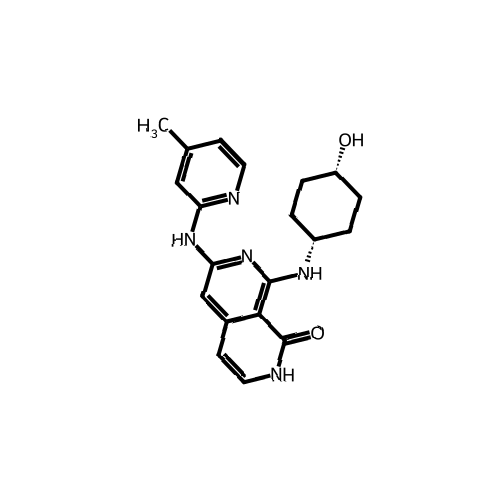 Cc1ccnc(Nc2cc3cc[nH]c(=O)c3c(N[C@H]3CC[C@@H](O)CC3)n2)c1